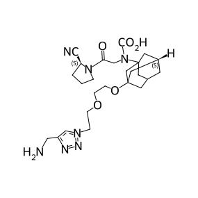 N#C[C@@H]1CCCN1C(=O)CN(C(=O)O)C12CC3C[C@H](CC(OCCOCCn4cc(CN)nn4)(C3)C1)C2